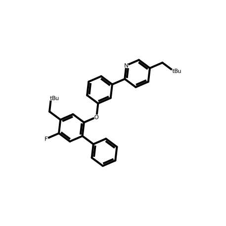 CC(C)(C)Cc1ccc(-c2cccc(Oc3cc(CC(C)(C)C)c(F)cc3-c3ccccc3)c2)nc1